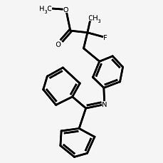 COC(=O)C(C)(F)Cc1cccc(N=C(c2ccccc2)c2ccccc2)c1